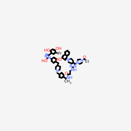 CCC(=O)N1CCN(c2nc(NCCC(=O)N[C@H](C)c3ccc(CN4CCC(Cc5ccc(-n6c(O)nnc6-c6cc(C(C)C)c(O)cc6O)cc5)CC4)cc3)nc3c2CCN(c2cc(O)cc4ccccc24)C3)CC1